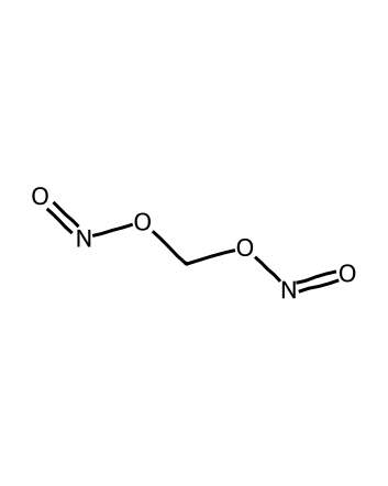 O=NOCON=O